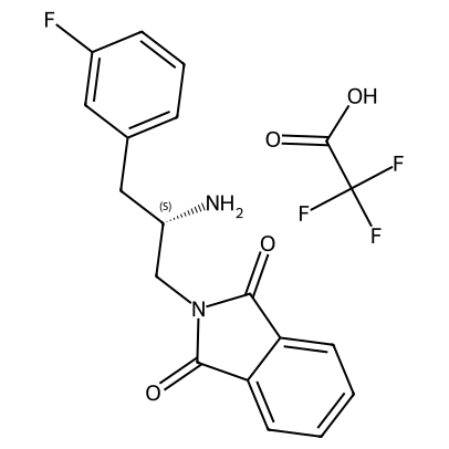 N[C@@H](Cc1cccc(F)c1)CN1C(=O)c2ccccc2C1=O.O=C(O)C(F)(F)F